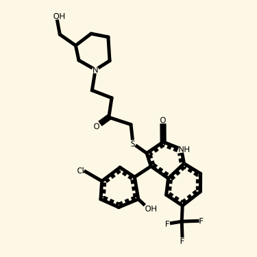 O=C(CCN1CCCC(CO)C1)CSc1c(-c2cc(Cl)ccc2O)c2cc(C(F)(F)F)ccc2[nH]c1=O